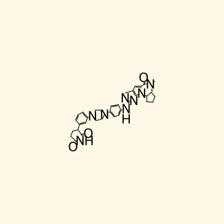 CN(C)C(=O)c1cc2cnc(Nc3ccc(N4CCN(c5cccc(C6CCC(=O)NC6=O)c5)CC4)cc3)nc2n1C1CCCC1